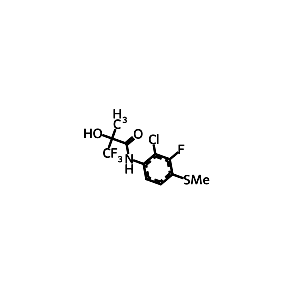 CSc1ccc(NC(=O)C(C)(O)C(F)(F)F)c(Cl)c1F